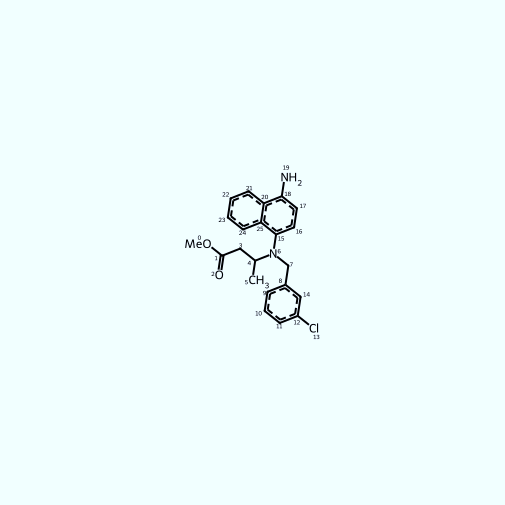 COC(=O)CC(C)N(Cc1cccc(Cl)c1)c1ccc(N)c2ccccc12